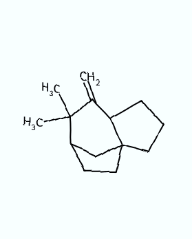 C=C1C2CCCC23CCC(C3)C1(C)C